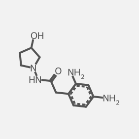 Nc1ccc(CC(=O)NN2CCC(O)C2)c(N)c1